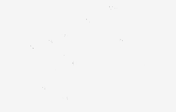 COc1nc2ccc(C(O)(c3ccnc(C(F)(F)F)c3)c3cncn3C)cc2c(Cl)c1CN1CC(C)C1